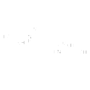 CC1CCCC(NC(=O)c2ccc(C(=O)NC3CCCC(C)C3C)cc2)C1C